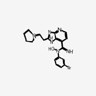 N=C(c1ccnc2nc(CCN3CCCC3)[nH]c12)N(O)c1cccc(Br)c1